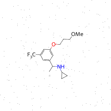 COCCCOc1cc(C(C)NC2CC2)cc(C(F)(F)F)c1